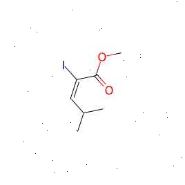 COC(=O)/C(I)=C\C(C)C